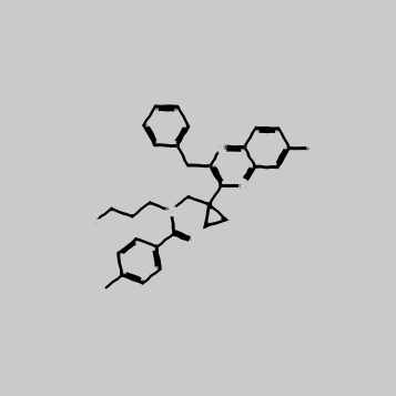 Cc1ccc(C(=O)N(CCCN)CC2(c3nc4cc(Cl)ccc4nc3Cc3ccccc3)CC2)cc1